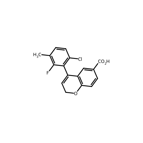 Cc1ccc(Cl)c(C2=CCOc3ccc(C(=O)O)cc32)c1F